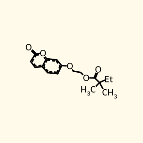 CCC(C)(C)C(=O)OCCOc1ccc2ccc(=O)oc2c1